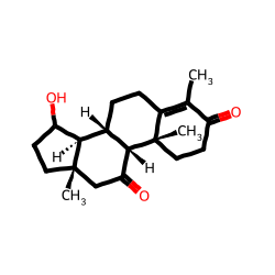 CC1=C2CC[C@@H]3[C@@H](C(=O)C[C@]4(C)CCC(O)[C@@H]34)[C@@]2(C)CCC1=O